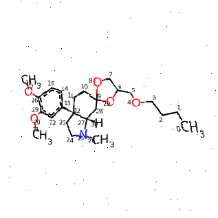 CCCCOCC1COC2(CC[C@@]3(c4ccc(OC)c(OC)c4)CCN(C)[C@H]3C2)O1